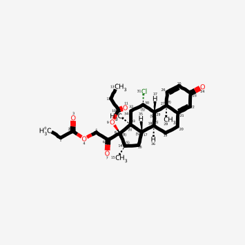 CCC(=O)OCC(=O)[C@@]1(OC(=O)CC)[C@@H](C)C[C@H]2[C@@H]3CCC4=CC(=O)C=C[C@]4(C)[C@H]3[C@@H](Cl)C[C@@]21C